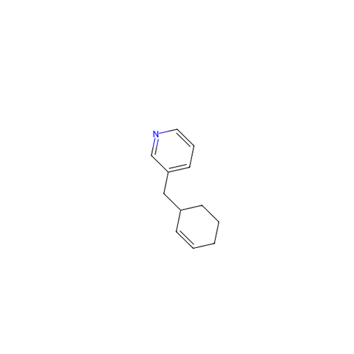 C1=CC(Cc2cccnc2)CCC1